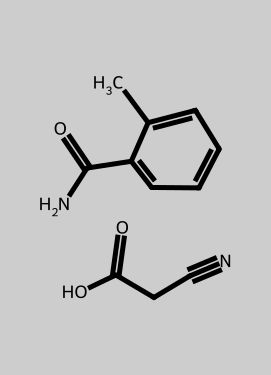 Cc1ccccc1C(N)=O.N#CCC(=O)O